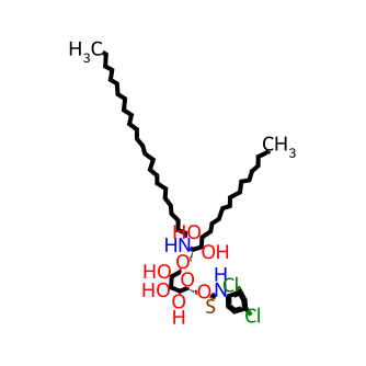 CCCCCCCCCCCCCCCCCCCCCCCCCCN[C@@H](CO[C@H]1O[C@H](COC(=S)Nc2ccc(Cl)cc2Cl)[C@H](O)[C@H](O)[C@H]1O)[C@H](O)[C@H](O)CCCCCCCCCCCCCC